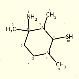 CN1CCC(C)(N)N(C)C1S